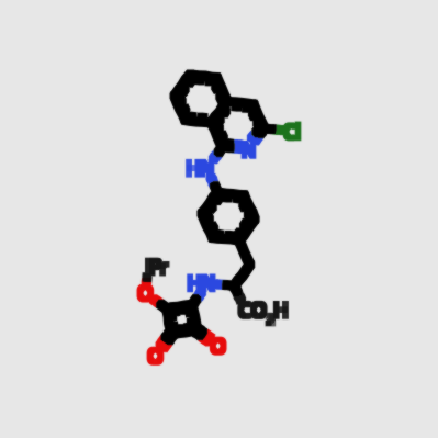 CC(C)Oc1c(NC(Cc2ccc(Nc3nc(Cl)cc4ccccc34)cc2)C(=O)O)c(=O)c1=O